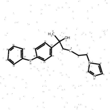 CC(O)(CCCCn1ccnc1)c1ccc(Sc2ccccc2)cc1